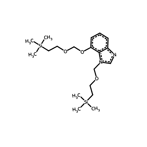 C[Si](C)(C)CCOCOc1cccc2ncn(COCC[Si](C)(C)C)c12